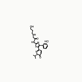 CC(C)n1nc(-c2sc(NC(=O)CNCCCO)nc2-c2ccccc2)ccc1=O.Cl